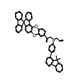 C=CCN(CC(=C)c1ccc2c(c1)Oc1ccc3c(c1O2)-c1ccccc1C31c2ccccc2-c2ccccc21)c1ccc(-c2cccc3c2C(C)(C)c2ccccc2-3)cc1